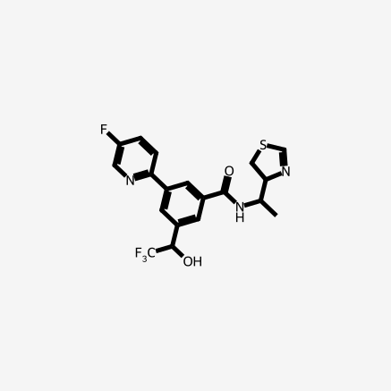 CC(NC(=O)c1cc(-c2ccc(F)cn2)cc(C(O)C(F)(F)F)c1)C1CSC=N1